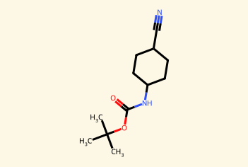 CC(C)(C)OC(=O)NC1CCC(C#N)CC1